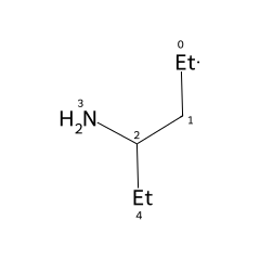 C[CH]CC(N)CC